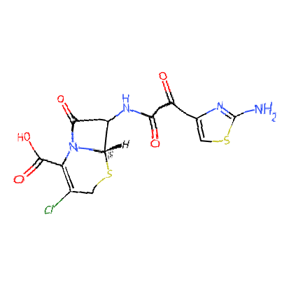 Nc1nc(C(=O)C(=O)NC2C(=O)N3C(C(=O)O)=C(Cl)CS[C@@H]23)cs1